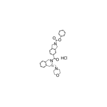 Cl.O=C(Oc1ccccc1)N1Cc2ccc(C(=O)N3Cc4ccccc4C[C@H]3CN3CCOCC3)cc2C1